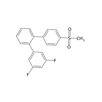 CS(=O)(=O)c1ccc(-c2ccccc2-c2cc(F)cc(F)c2)cc1